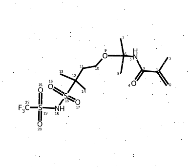 C=C(C)C(=O)NC(C)(C)OCCC(C)(C)S(=O)(=O)NS(=O)(=O)C(F)(F)F